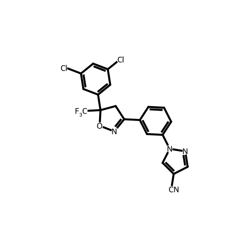 N#Cc1cnn(-c2cccc(C3=NOC(c4cc(Cl)cc(Cl)c4)(C(F)(F)F)C3)c2)c1